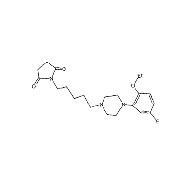 CCOc1ccc(F)cc1N1CCN(CCCCCN2C(=O)CCC2=O)CC1